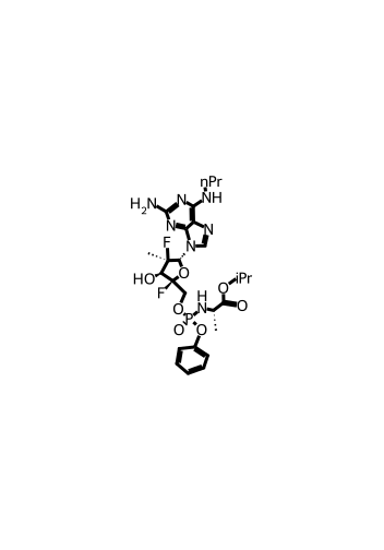 CCCNc1nc(N)nc2c1ncn2[C@@H]1O[C@](F)(COP(=O)(N[C@@H](C)C(=O)OC(C)C)Oc2ccccc2)[C@@H](O)[C@@]1(C)F